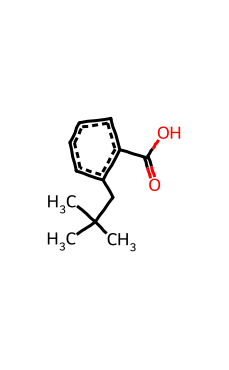 CC(C)(C)Cc1ccccc1C(=O)O